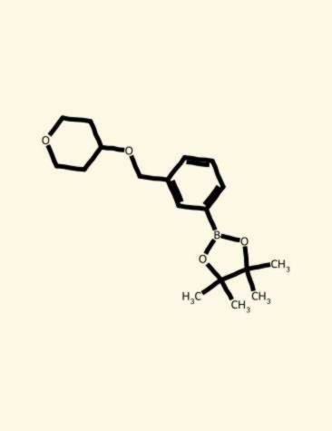 CC1(C)OB(c2cccc(COC3CCOCC3)c2)OC1(C)C